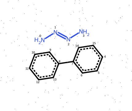 NN=NN.c1ccc(-c2ccccc2)cc1